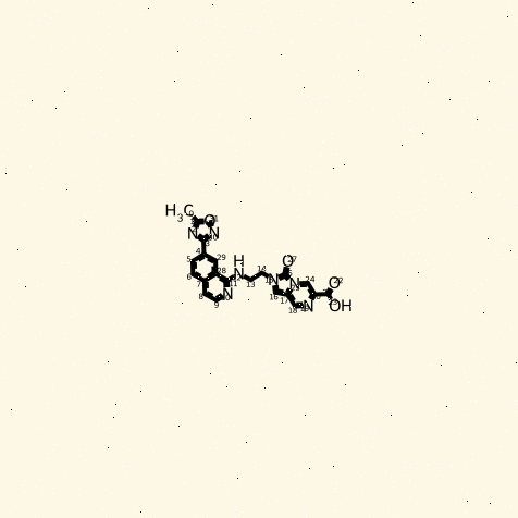 Cc1nc(-c2ccc3ccnc(NCCn4cc5cnc(C(=O)O)cn5c4=O)c3c2)no1